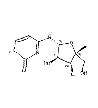 C[C@]1(CO)O[C@@H](Nc2cc[nH]c(=O)n2)[C@H](O)[C@@H]1O